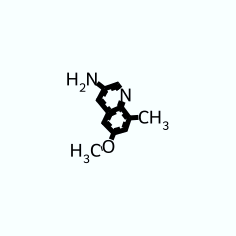 COc1cc(C)c2ncc(N)cc2c1